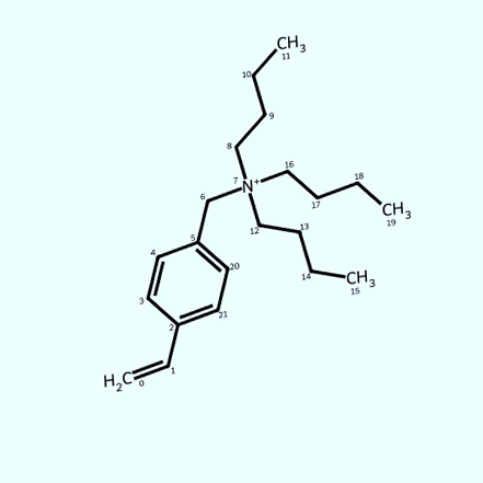 C=Cc1ccc(C[N+](CCCC)(CCCC)CCCC)cc1